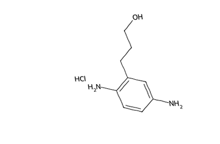 Cl.Nc1ccc(N)c(CCCO)c1